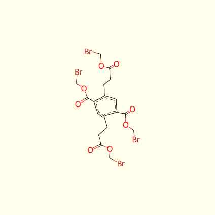 O=C(CCc1cc(C(=O)OCBr)c(CCC(=O)OCBr)cc1C(=O)OCBr)OCBr